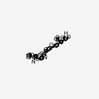 CCN(C)S(=O)(=O)Nc1ccc(F)c(Oc2ccc3ncn([C@@H]4COC5(CCN(C(=O)CN6CCC(c7ccc(C8CCC(=O)NC8=O)cc7OS(=O)(=O)F)CC6)CC5)C4)c(=O)c3c2)c1C#N